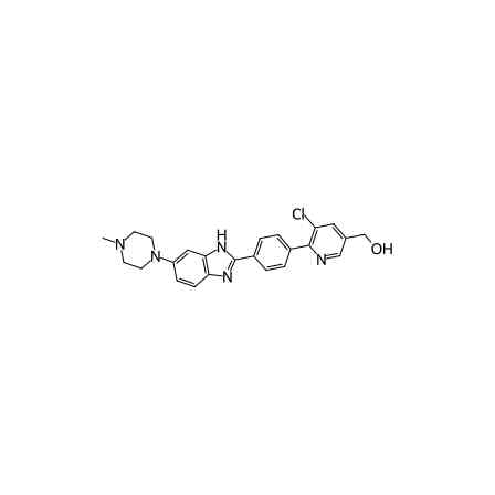 CN1CCN(c2ccc3nc(-c4ccc(-c5ncc(CO)cc5Cl)cc4)[nH]c3c2)CC1